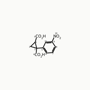 O=C(O)C1CC1(C(=O)O)c1cccc([N+](=O)[O-])c1